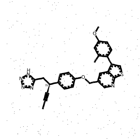 CC#C[C@@H](Cc1nnn[nH]1)c1ccc(OCc2cnc3scc(-c4ccc(OC)cc4C)c3c2)cc1